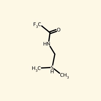 C[SH](C)CNC(=O)C(F)(F)F